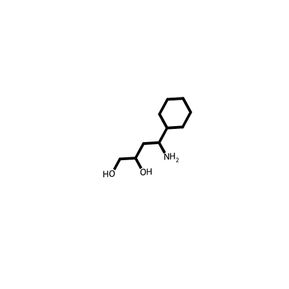 NC(CC(O)CO)C1CCCCC1